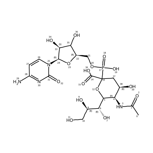 CC(=O)N[C@H]1C([C@H](O)[C@H](O)CO)OC(C(=O)O)(P(=O)(O)OC[C@H]2O[C@@H](n3ccc(N)nc3=O)[C@@H](O)C2O)C[C@H]1O